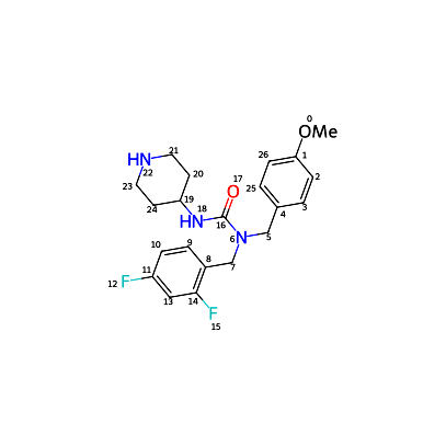 COc1ccc(CN(Cc2ccc(F)cc2F)C(=O)NC2CCNCC2)cc1